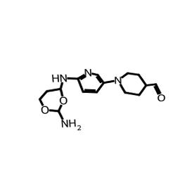 NC1OCCC(Nc2ccc(N3CCC(C=O)CC3)cn2)O1